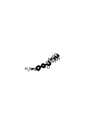 NCCOc1ccc(-c2ccc(-c3nc4nc(O[C@@H]5CO[C@@H]6CCO[C@@H]65)[nH]c4cc3Cl)cc2)cc1